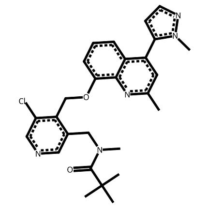 Cc1cc(-c2ccnn2C)c2cccc(OCc3c(Cl)cncc3CN(C)C(=O)C(C)(C)C)c2n1